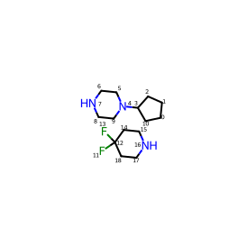 C1CCC(N2CCNCC2)C1.FC1(F)CCNCC1